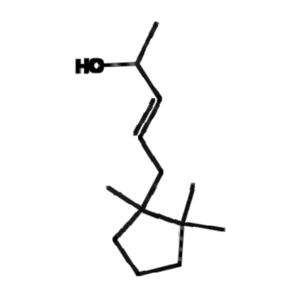 CC(O)C=CCC1(C)CCCC1(C)C